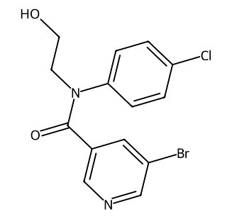 O=C(c1cncc(Br)c1)N(CCO)c1ccc(Cl)cc1